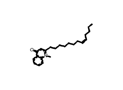 CCCC/C=C\CCCCCCCc1cc(=O)c2ccccc2n1C